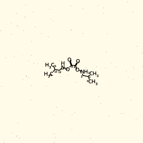 CC(C)CNOC(=O)C(=O)ONCC(C)C